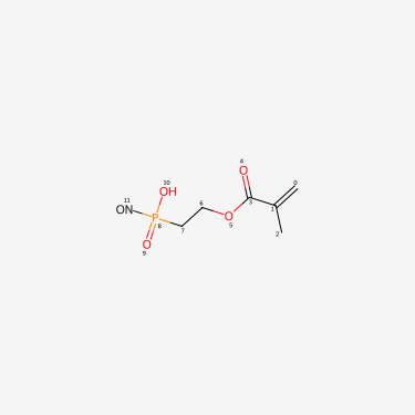 C=C(C)C(=O)OCCP(=O)(O)N=O